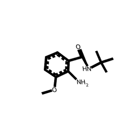 COc1cccc(C(=O)NC(C)(C)C)c1N